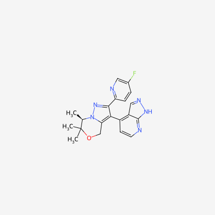 C[C@H]1n2nc(-c3ccc(F)cn3)c(-c3ccnc4[nH]ncc34)c2COC1(C)C